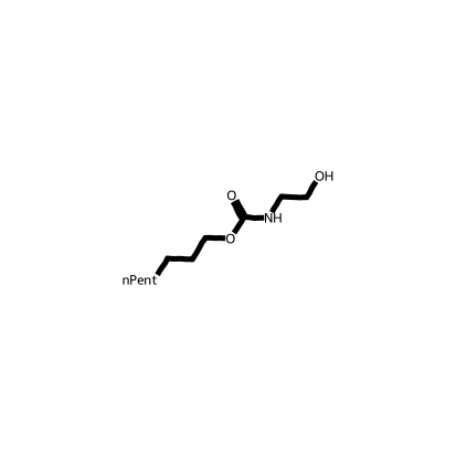 CCCCCCCCOC(=O)NCCO